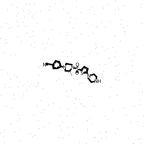 C[C@@H]1CN(c2ccc(C#N)cc2)CCN1S(=O)(=O)c1ccc(N2CCNCC2)s1